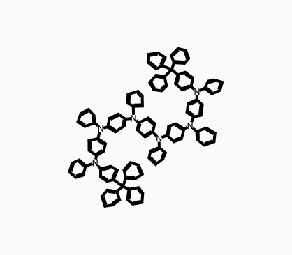 c1ccc(N(c2ccc(N(c3ccccc3)c3ccc(N(c4ccccc4)c4ccc(N(c5ccccc5)c5ccc(C(c6ccccc6)(c6ccccc6)c6ccccc6)cc5)cc4)cc3)cc2)c2ccc(N(c3ccccc3)c3ccc(N(c4ccccc4)c4ccc(C(c5ccccc5)(c5ccccc5)c5ccccc5)cc4)cc3)cc2)cc1